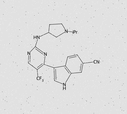 CC(C)N1CCC(Nc2ncc(C(F)(F)F)c(-c3c[nH]c4cc(C#N)ccc34)n2)C1